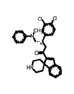 CN(C[C@@H](CC(=O)C1=Cc2ccccc2C12CCNCC2)c1ccc(Cl)c(Cl)c1)c1ccccc1